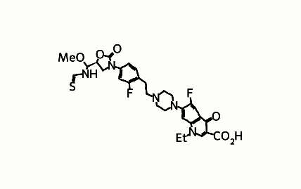 CCn1cc(C(=O)O)c(=O)c2cc(F)c(N3CCN(CCc4ccc(N5C[C@@H](C(NC=S)OC)OC5=O)cc4F)CC3)cc21